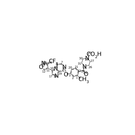 Cc1cc(Oc2nccn3c(-c4conc4C(F)(F)F)cnc23)ccc1C(=O)N1CCN(C(=O)O)CC1